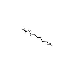 NCCCCCCO[C]=O